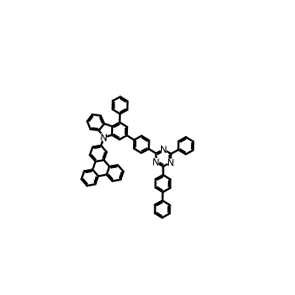 c1ccc(-c2ccc(-c3nc(-c4ccccc4)nc(-c4ccc(-c5cc(-c6ccccc6)c6c7ccccc7n(-c7ccc8c9ccccc9c9ccccc9c8c7)c6c5)cc4)n3)cc2)cc1